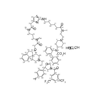 CN(CCN1CCC(N(C(=O)O)c2ccccc2-c2ccccc2)CC1)C(=O)CCCCCNc1nc(CC(=O)N(C)CCCN(C)C(=O)CO[C@H]2Cc3ccccc3C23CCN(CC[C@@]2(c4ccc(F)cc4)CN(C(=O)c4cc(C(F)(F)F)cc(C(F)(F)F)c4)CO2)CC3)cs1.Cl.Cl.Cl